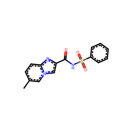 Cc1ccc2nc(C(=O)NS(=O)(=O)c3ccccc3)cn2c1